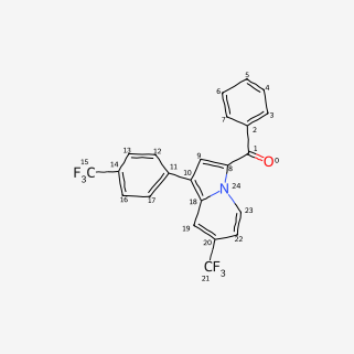 O=C(c1ccccc1)c1cc(-c2ccc(C(F)(F)F)cc2)c2cc(C(F)(F)F)ccn12